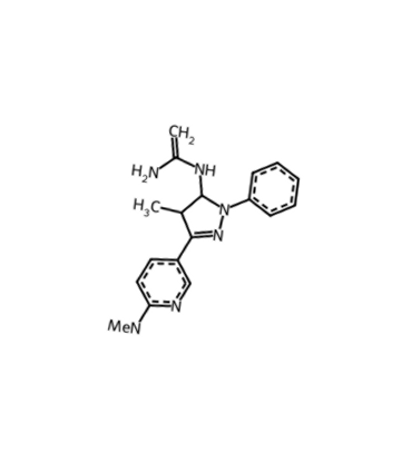 C=C(N)NC1C(C)C(c2ccc(NC)nc2)=NN1c1ccccc1